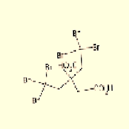 O=C(O)CC(CC(Br)(Br)Br)(CC(Br)(Br)Br)C(=O)O